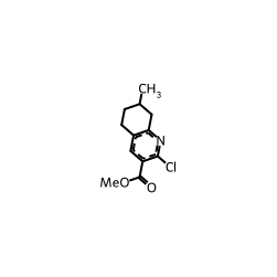 COC(=O)c1cc2c(nc1Cl)CC(C)CC2